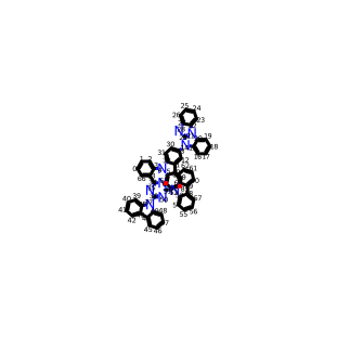 c1ccc(-n2c3ccccc3c3cc(-n4c5ccccc5n5c6ccccc6nc45)ccc32)c(-c2nc(-n3c4ccccc4c4ccccc43)nc(-n3c4ccccc4c4ccccc43)n2)c1